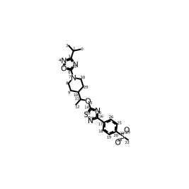 CC(C)c1noc(N2CCC(C(C)Oc3nc(-c4ccc(S(C)(=O)=O)cc4)ns3)CC2)n1